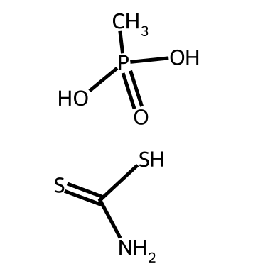 CP(=O)(O)O.NC(=S)S